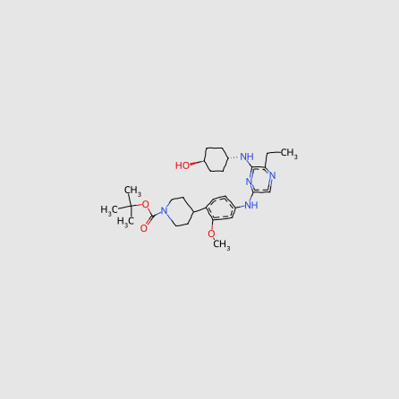 CCc1ncc(Nc2ccc(C3CCN(C(=O)OC(C)(C)C)CC3)c(OC)c2)nc1N[C@H]1CC[C@H](O)CC1